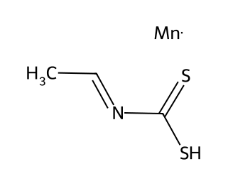 CC=NC(=S)S.[Mn]